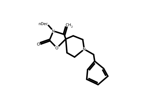 C=C1N(CCCCCCCCCC)C(=O)OC12CCN(Cc1ccccc1)CC2